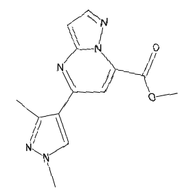 COC(=O)c1cc(-c2cn(C)nc2C)nc2ccnn12